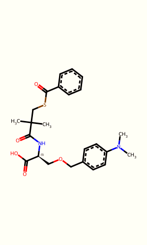 CN(C)c1ccc(COC[C@H](NC(=O)C(C)(C)CSC(=O)c2ccccc2)C(=O)O)cc1